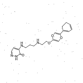 O=c1[nH]nccc1NCCCNCCOC1=COC(C2=CC=CCC2)=CO1